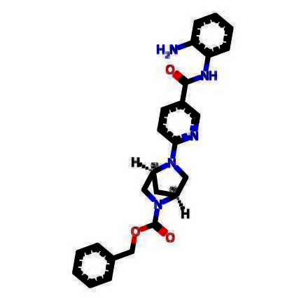 Nc1ccccc1NC(=O)c1ccc(N2C[C@@H]3C[C@H]2CN3C(=O)OCc2ccccc2)nc1